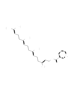 CC(C)=CCC/C(C)=C/CC/C(C)=C/CC/C(C)=C/COC(=O)c1cccnc1